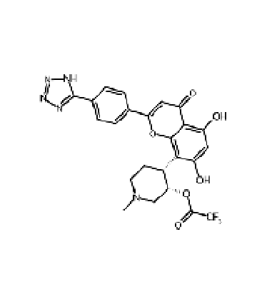 CN1CC[C@H](c2c(O)cc(O)c3c(=O)cc(-c4ccc(-c5nnn[nH]5)cc4)oc23)[C@H](OC(=O)C(F)(F)F)C1